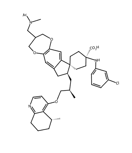 CC(=O)N(C)CC1COc2cc3c(cc2OC1)[C@]1(CC[C@@](Nc2cccc(Cl)c2)(C(=O)O)CC1)[C@@H](C[C@@H](C)COc1ccnc2c1[C@H](C)CCC2)C3